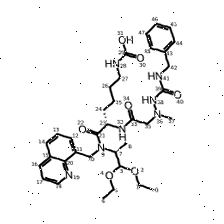 CCOC(OCC)[C@H](C)N(Cc1cccc2cccnc12)C(=O)[C@H](CCCCNC(=O)O)NC(=O)CN(C)NC(=O)NCc1ccccc1